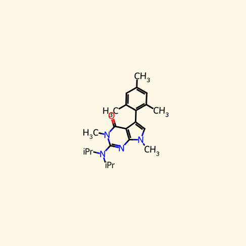 Cc1cc(C)c(-c2cn(C)c3nc(N(C(C)C)C(C)C)n(C)c(=O)c23)c(C)c1